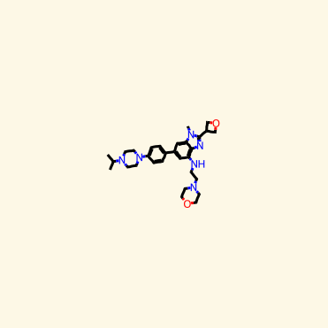 CC(C)N1CCN(c2ccc(-c3cc(NCCN4CCOCC4)c4nc(C5COC5)n(C)c4c3)cc2)CC1